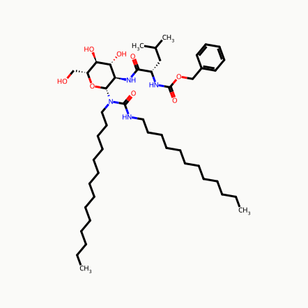 CCCCCCCCCCCCCCN(C(=O)NCCCCCCCCCCCC)[C@@H]1O[C@H](CO)[C@@H](O)[C@H](O)[C@H]1NC(=O)[C@H](CC(C)C)NC(=O)OCc1ccccc1